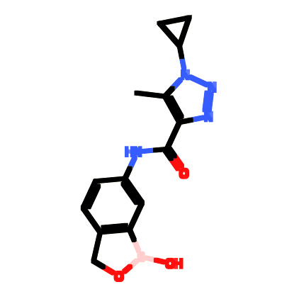 Cc1c(C(=O)Nc2ccc3c(c2)B(O)OC3)nnn1C1CC1